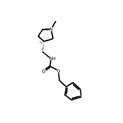 CN1CC[C@@H](CNC(=O)OCc2ccccc2)C1